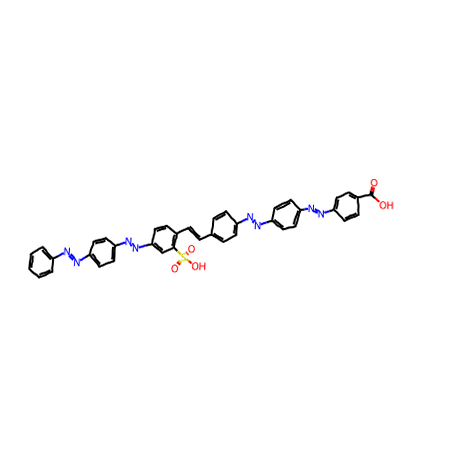 O=C(O)c1ccc(N=Nc2ccc(N=Nc3ccc(C=Cc4ccc(N=Nc5ccc(N=Nc6ccccc6)cc5)cc4S(=O)(=O)O)cc3)cc2)cc1